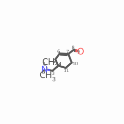 CN(C)CC1CC=C(C=O)CC1